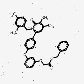 Cc1ccc(Cn2c(-c3ccc(Oc4cccc(OCC(=O)OCc5ccccc5)c4)cc3)cc(C(F)(F)F)c(N)c2=O)c(C)c1